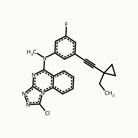 CCC1(C#Cc2cc(F)cc(N(C)c3nc4nnc(Cl)n4c4ccccc34)c2)CC1